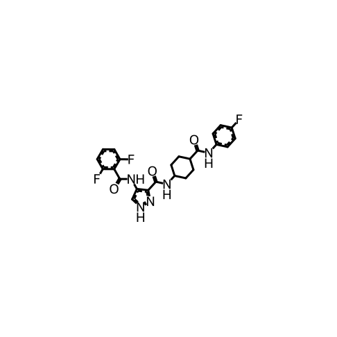 O=C(NC1CCC(C(=O)Nc2ccc(F)cc2)CC1)c1n[nH]cc1NC(=O)c1c(F)cccc1F